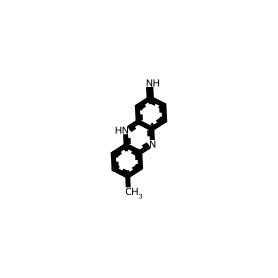 Cc1ccc2[nH]c3cc(=N)ccc-3nc2c1